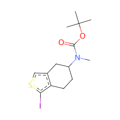 CN(C(=O)OC(C)(C)C)C1CCc2c(csc2I)C1